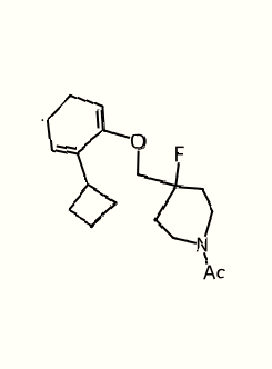 CC(=O)N1CCC(F)(COC2=CC[CH]C=C2C2CCC2)CC1